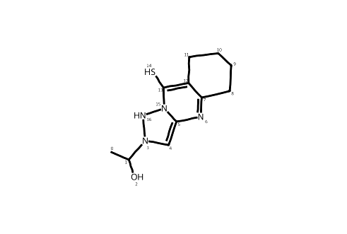 CC(O)N1C=C2N=C3CCCCC3=C(S)N2N1